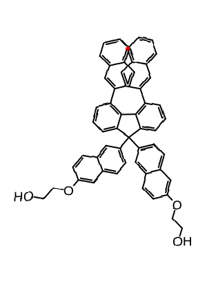 OCCOc1ccc2cc(C3(c4ccc5cc(OCCO)ccc5c4)c4cccc(-c5ccc6ccccc6c5)c4-c4c(-c5ccc6ccccc6c5)cccc43)ccc2c1